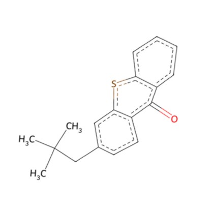 CC(C)(C)Cc1ccc2c(=O)c3ccccc3sc2c1